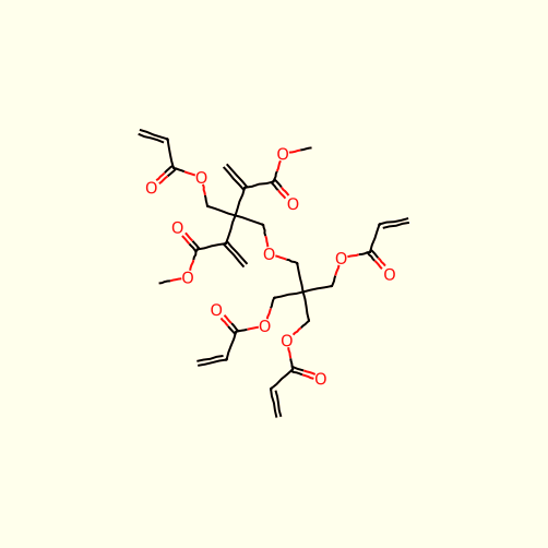 C=CC(=O)OCC(COCC(COC(=O)C=C)(C(=C)C(=O)OC)C(=C)C(=O)OC)(COC(=O)C=C)COC(=O)C=C